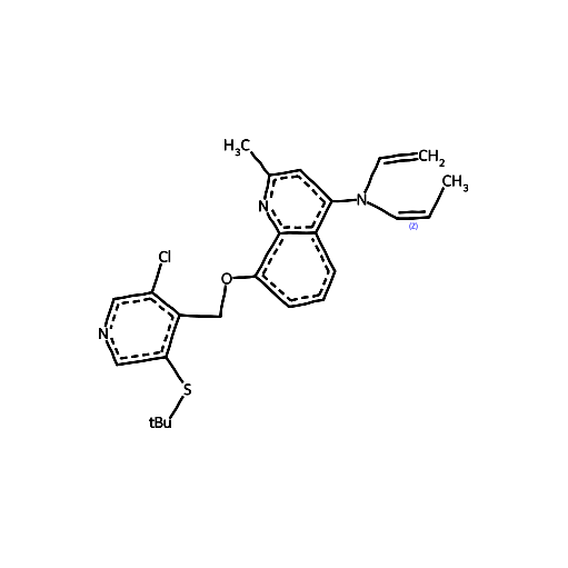 C=CN(/C=C\C)c1cc(C)nc2c(OCc3c(Cl)cncc3SC(C)(C)C)cccc12